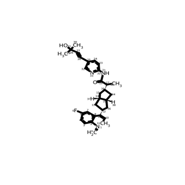 C=Nc1ccc(F)cc1/C(=C\C)[C@@H]1C[C@@H]2C[C@H](C(C)C(=O)Nc3ccc(C#CC(C)(C)O)cn3)C[C@@H]2C1